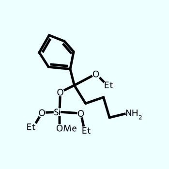 CCOC(CCCN)(O[Si](OC)(OCC)OCC)c1ccccc1